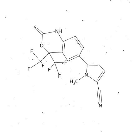 Cn1c(C#N)ccc1-c1ccc2c(c1)C(C(F)(F)F)(C(F)(F)F)OC(=S)N2